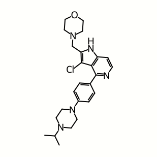 CC(C)N1CCN(c2ccc(-c3nccc4[nH]c(CN5CCOCC5)c(Cl)c34)cc2)CC1